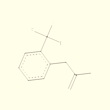 C=C(C)Cc1ccccc1C(F)(F)F